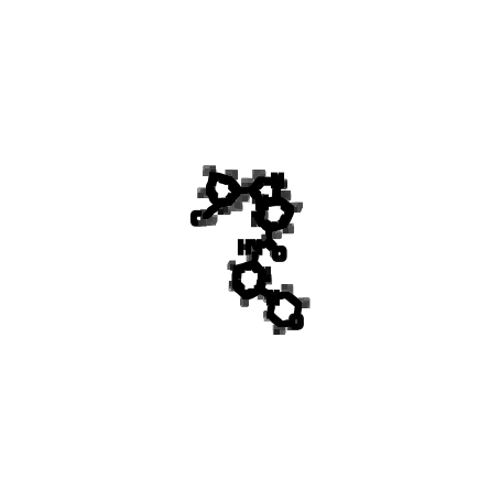 O=C(Nc1cccc(N2CCOCC2)n1)c1ccc2ncc(-c3cccc(Cl)c3)n2n1